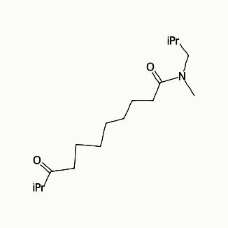 CC(C)CN(C)C(=O)CCCCCCCC(=O)C(C)C